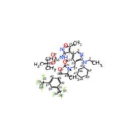 CCN(c1ncc(-c2c(NC(=O)OC(C)(C)C)noc2C)cc1CN1C(=O)O[C@@H](c2cc(C(F)(F)F)cc(C(F)(F)F)c2)[C@@H]1C)C1CCCCC1